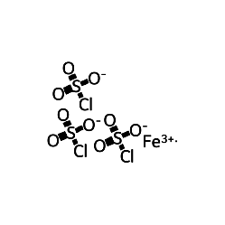 O=S(=O)([O-])Cl.O=S(=O)([O-])Cl.O=S(=O)([O-])Cl.[Fe+3]